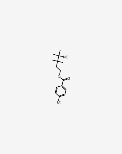 CCc1ccc(C(=O)OCCC(C)(C)C(C)(C)N=O)cc1